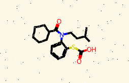 CC(C)CCN(C(=O)C1CCCCC1)c1ccccc1SC(=O)O